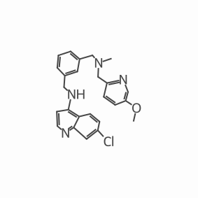 COc1ccc(CN(C)Cc2cccc(CNc3ccnc4cc(Cl)ccc34)c2)nc1